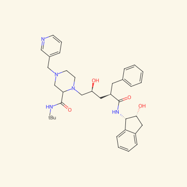 CC(C)(C)NC(=O)C1CN(Cc2cccnc2)CCN1C[C@@H](O)C[C@@H](Cc1ccccc1)C(=O)N[C@H]1c2ccccc2C[C@H]1O